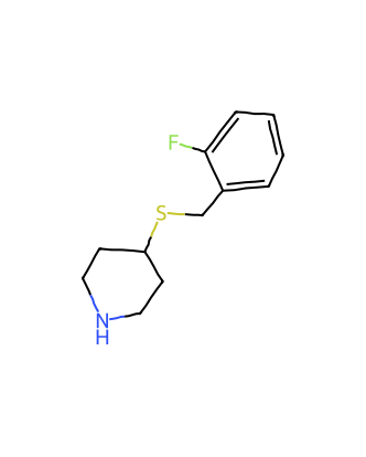 Fc1ccccc1CSC1CCNCC1